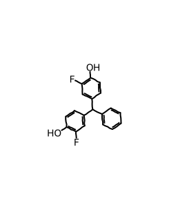 Oc1ccc(C(c2ccccc2)c2ccc(O)c(F)c2)cc1F